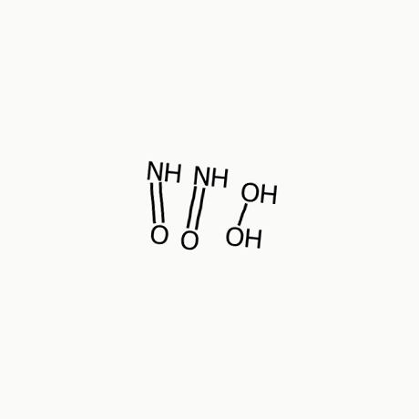 N=O.N=O.OO